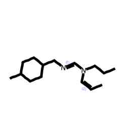 C/C=C\N(/C=N/CC1CCC(C)CC1)CCC